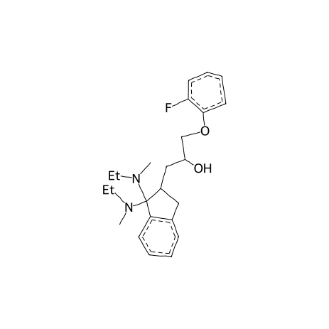 CCN(C)C1(N(C)CC)c2ccccc2CC1CC(O)COc1ccccc1F